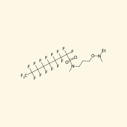 CCN(C)OCCCN(C)S(=O)(=O)C(F)(F)C(F)(F)C(F)(F)C(F)(F)C(F)(F)C(F)(F)C(F)(F)C(F)(F)F